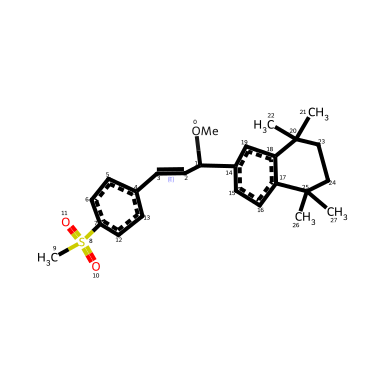 COC(/C=C/c1ccc(S(C)(=O)=O)cc1)c1ccc2c(c1)C(C)(C)CCC2(C)C